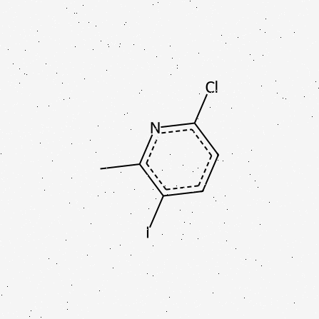 Cc1nc(Cl)ccc1I